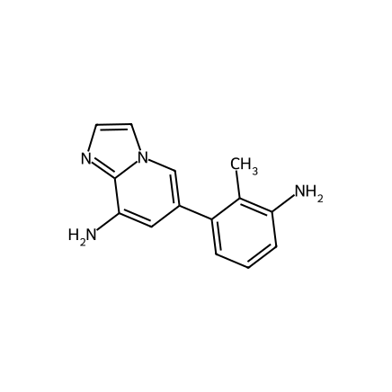 Cc1c(N)cccc1-c1cc(N)c2nccn2c1